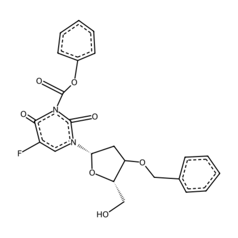 O=C(Oc1ccccc1)n1c(=O)c(F)cn([C@@H]2CC(OCc3ccccc3)[C@H](CO)O2)c1=O